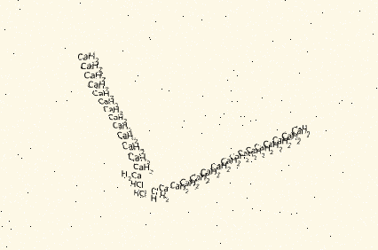 Cl.Cl.Cl.[CaH2].[CaH2].[CaH2].[CaH2].[CaH2].[CaH2].[CaH2].[CaH2].[CaH2].[CaH2].[CaH2].[CaH2].[CaH2].[CaH2].[CaH2].[CaH2].[CaH2].[CaH2].[CaH2].[CaH2].[CaH2].[CaH2].[CaH2].[CaH2].[CaH2].[CaH2].[CaH2].[CaH2].[CaH2]